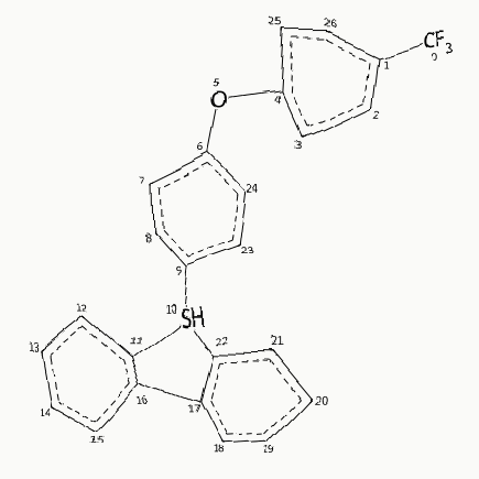 FC(F)(F)c1ccc(Oc2ccc([SH]3c4ccccc4-c4ccccc43)cc2)cc1